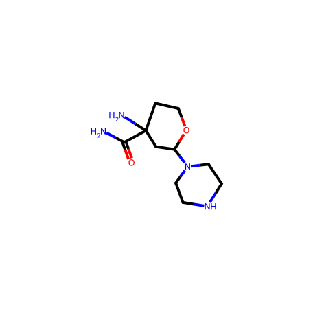 NC(=O)C1(N)CCOC(N2CCNCC2)C1